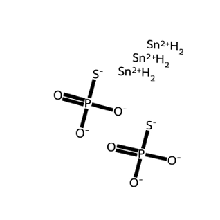 O=P([O-])([O-])[S-].O=P([O-])([O-])[S-].[SnH2+2].[SnH2+2].[SnH2+2]